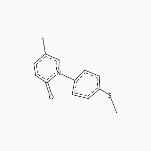 CSc1ccc(-n2cc(C)ccc2=O)cc1